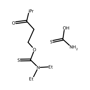 CCN(CC)C(=S)OCCC(=O)C(C)C.NC(O)=S